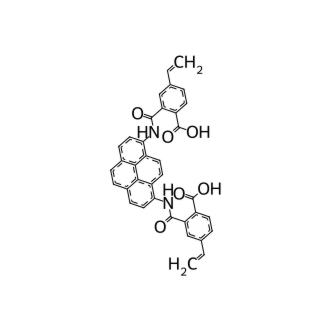 C=Cc1ccc(C(=O)O)c(C(=O)Nc2ccc3ccc4ccc(NC(=O)c5cc(C=C)ccc5C(=O)O)c5ccc2c3c45)c1